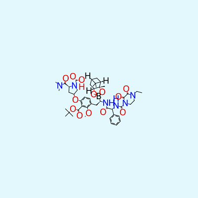 CCN1CCN(C(=O)NC(C(=O)N[C@@H](Cc2ccc(O[C@H]3C[C@@H](C(=O)N(C)C)N(C(=O)O)C3)c(C(=O)OC(C)(C)C)c2OC)B2O[C@@H]3C[C@@H]4C[C@@H](C4(C)C)[C@]3(C)O2)c2ccccc2)C(=O)C1=O